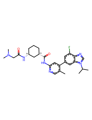 Cc1cnc(NC(=O)[C@H]2CCC[C@@H](NC(=O)CN(C)C)C2)cc1-c1cc(F)c2ncn(C(C)C)c2c1